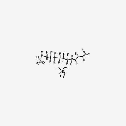 CC[N+](CC)(CC)CC.O=S(=O)([O-])C(F)C(F)(F)C(F)(F)C(F)(F)C(F)(F)C(F)(F)C(F)(F)C(F)(F)C(F)C(F)C(F)C(F)F